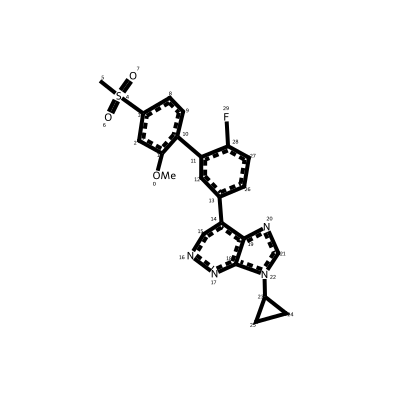 COc1cc(S(C)(=O)=O)ccc1-c1cc(-c2cnnc3c2ncn3C2CC2)ccc1F